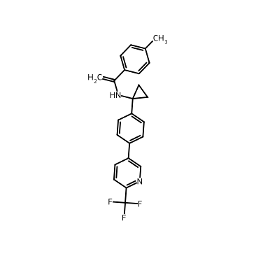 C=C(NC1(c2ccc(-c3ccc(C(F)(F)F)nc3)cc2)CC1)c1ccc(C)cc1